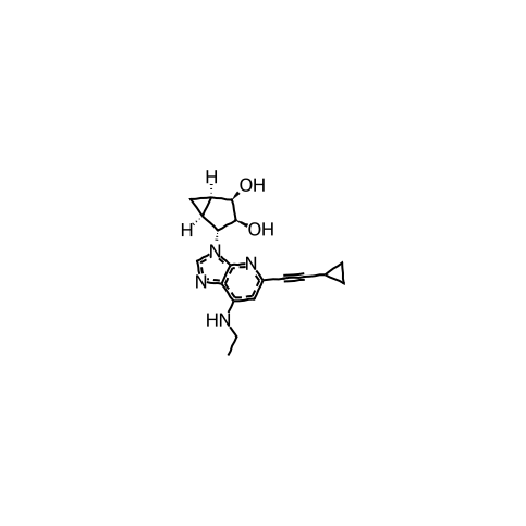 CCNc1cc(C#CC2CC2)nc2c1ncn2[C@H]1[C@H](O)[C@H](O)[C@@H]2C[C@@H]21